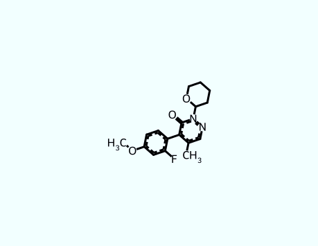 COc1ccc(-c2c(C)cnn(C3CCCCO3)c2=O)c(F)c1